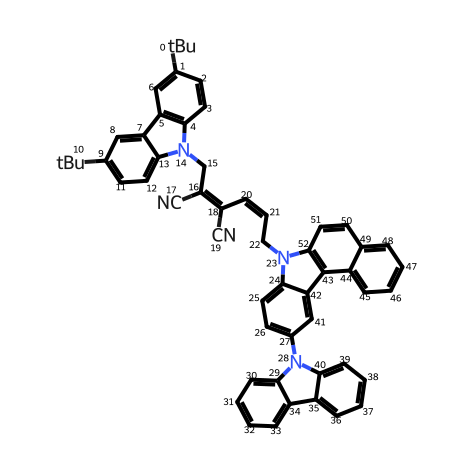 CC(C)(C)c1ccc2c(c1)c1cc(C(C)(C)C)ccc1n2C/C(C#N)=C(C#N)\C=C/Cn1c2ccc(-n3c4ccccc4c4ccccc43)cc2c2c3ccccc3ccc21